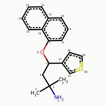 CC(C)(N)CC(Oc1cccc2ccccc12)c1ccsc1